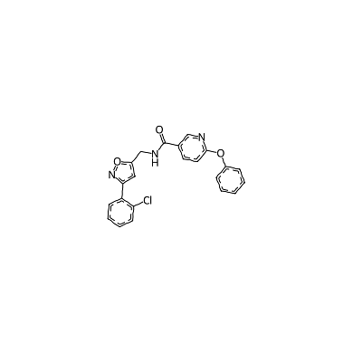 O=C(NCc1cc(-c2ccccc2Cl)no1)c1ccc(Oc2ccccc2)nc1